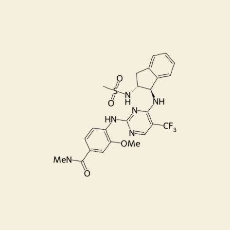 CNC(=O)c1ccc(Nc2ncc(C(F)(F)F)c(N[C@@H]3c4ccccc4C[C@H]3NS(C)(=O)=O)n2)c(OC)c1